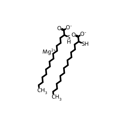 CCCCCCCCCCCCCCC(S)C(=O)[O-].CCCCCCCCCCCCCCC(S)C(=O)[O-].[Mg+2]